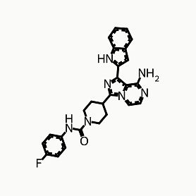 Nc1nccn2c(C3CCN(C(=O)Nc4ccc(F)cc4)CC3)nc(-c3cc4ccccc4[nH]3)c12